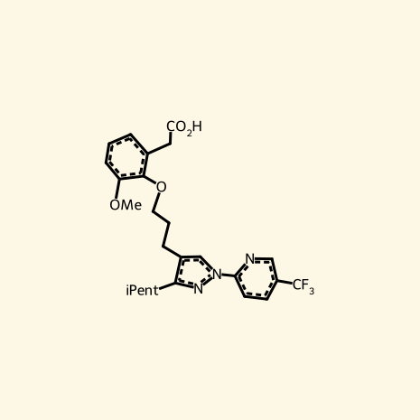 CCCC(C)c1nn(-c2ccc(C(F)(F)F)cn2)cc1CCCOc1c(CC(=O)O)cccc1OC